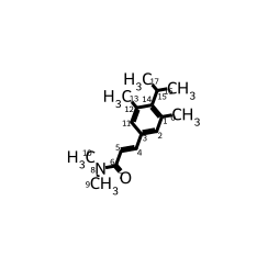 Cc1cc(/C=C/C(=O)N(C)C)cc(C)c1C(C)C